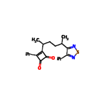 CC(C)c1nsnc1C(C)CCC(C)c1c(C(C)C)c(=O)c1=O